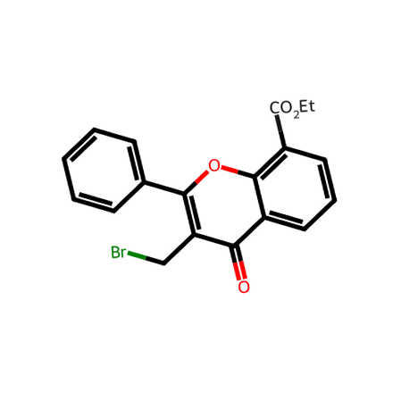 CCOC(=O)c1cccc2c(=O)c(CBr)c(-c3ccccc3)oc12